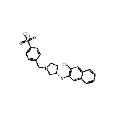 O=S(=O)(c1ccc(CN2CC[C@H](Sc3cc4ccncc4cc3Cl)C2)cc1)C(F)(F)F